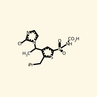 CC(C)Cc1sc(S(=O)(=O)NC(=O)O)cc1C(C)n1ccnc1Cl